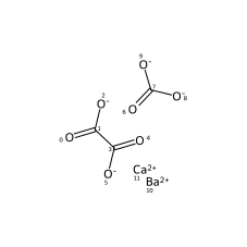 O=C([O-])C(=O)[O-].O=C([O-])[O-].[Ba+2].[Ca+2]